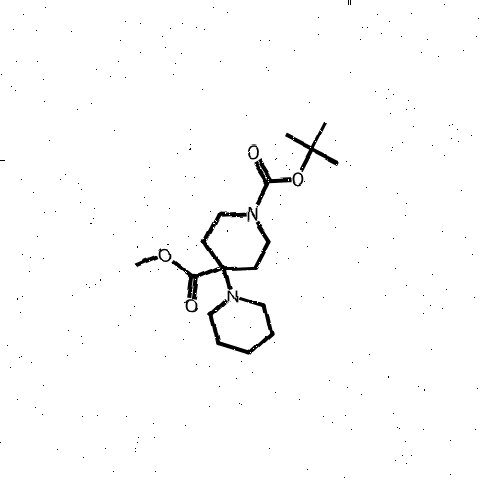 COC(=O)C1(N2CCCCC2)CCN(C(=O)OC(C)(C)C)CC1